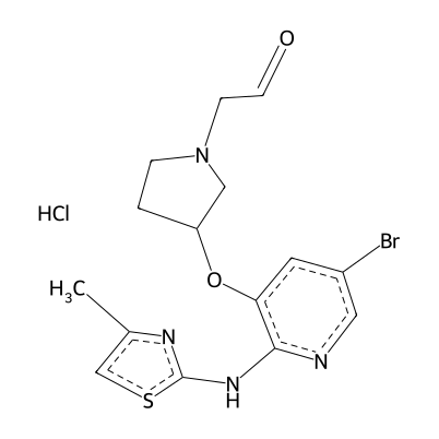 Cc1csc(Nc2ncc(Br)cc2OC2CCN(CC=O)C2)n1.Cl